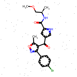 COC[C@@H](C)NC(=O)c1cc(C(=O)c2c(-c3ccc(Br)cc3)noc2C)c[nH]1